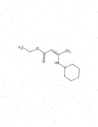 CCOC(=O)/C=C(/C)NN1CCCCC1